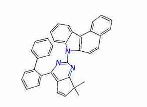 CC1(C)C=Cc2c(-c3ccccc3-c3ccccc3)nc(-n3c4ccccc4c4c5ccccc5ccc43)nc21